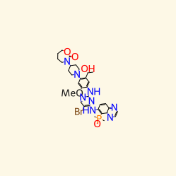 COc1cc(N2CCC(N3CCCCOC3=O)CC2)c(C(C)O)cc1Nc1ncc(Br)c(Nc2ccc3nccnc3c2P(C)(C)=O)n1